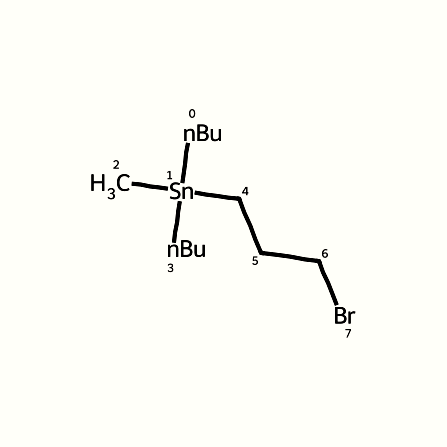 CCC[CH2][Sn]([CH3])([CH2]CCC)[CH2]CCBr